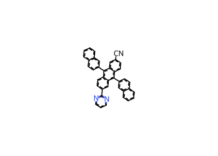 N#Cc1ccc2c(-c3ccc4ccccc4c3)c3cc(-c4ncccn4)ccc3c(-c3ccc4ccccc4c3)c2c1